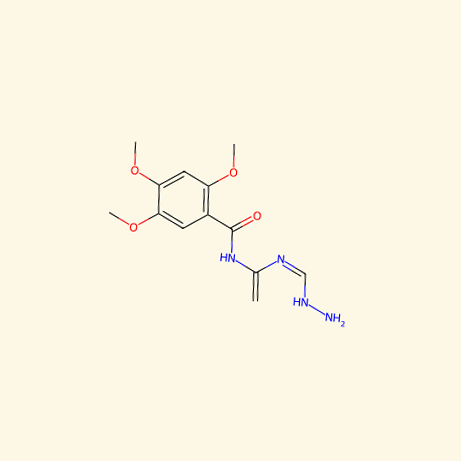 C=C(/N=C\NN)NC(=O)c1cc(OC)c(OC)cc1OC